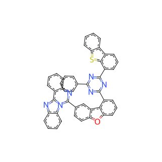 c1ccc(-c2nc(-c3cccc4c3sc3ccccc34)nc(-c3cccc4oc5ccc(-c6nc7ccccc7c7nc8ccccc8n67)cc5c34)n2)cc1